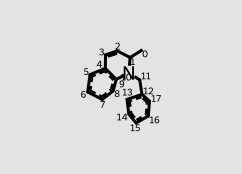 CC1C=Cc2ccccc2N1Cc1ccccc1